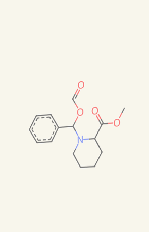 COC(=O)C1CCCCN1C(OC=O)c1ccccc1